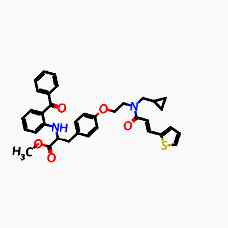 COC(=O)[C@H](Cc1ccc(OCCN(CC2CC2)C(=O)C=Cc2cccs2)cc1)Nc1ccccc1C(=O)c1ccccc1